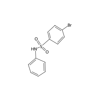 O=S(=O)(Nc1ccccc1)c1ccc(Br)cc1